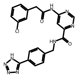 O=C(Cc1cccc(Cl)c1)Nc1cc(C(=O)NCc2ccc(-c3nnn[nH]3)cc2)ncn1